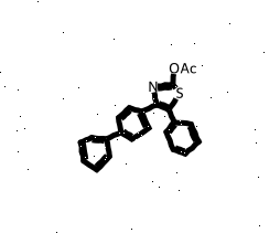 CC(=O)Oc1nc(-c2ccc(-c3ccccc3)cc2)c(-c2ccccc2)s1